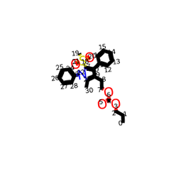 CCCOC(=O)OCCc1c(-c2ccccc2)c(S(C)(=O)=O)n(-c2ccccc2)c1C